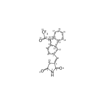 O=C1NC(=O)C(=Cc2ccc3c(c2)c2ccccc2n3C(=O)C(F)(F)F)S1